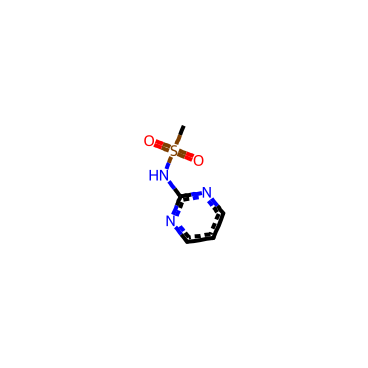 CS(=O)(=O)Nc1ncccn1